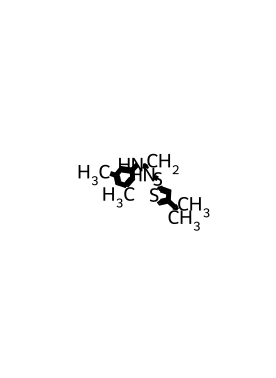 C=C(NSc1cc(C(C)C)cs1)Nc1cc(C)cc(C)c1